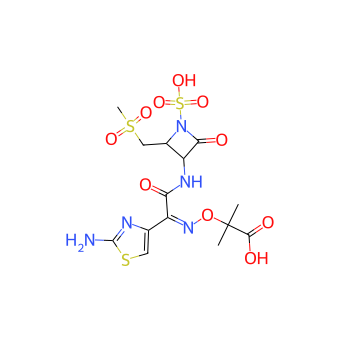 CC(C)(O/N=C(\C(=O)NC1C(=O)N(S(=O)(=O)O)C1CS(C)(=O)=O)c1csc(N)n1)C(=O)O